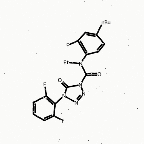 CCCCc1ccc(N(CC)C(=O)n2nnn(-c3c(F)cccc3F)c2=O)c(F)c1